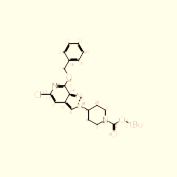 CC(C)(C)OC(=O)N1CCC(n2cc3cc(Cl)nc(OCc4ccccc4)c3n2)CC1